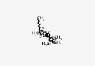 CCCCCCCCN1C(=O)C(Cc2ccc(-c3cc(OC)c(OC)c(OC)c3)cc2)N(C)C(=O)[C@H]1C